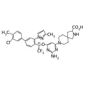 Cc1ccn(-c2cc(-c3ccc(C)c(Cl)c3)ccc2[C@@H](Oc2cc(N3CCC4(CC3)CNC(C(=O)O)C4)nc(N)n2)C(F)(F)F)n1